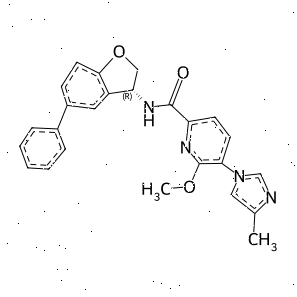 COc1nc(C(=O)N[C@H]2COc3ccc(-c4ccccc4)cc32)ccc1-n1cnc(C)c1